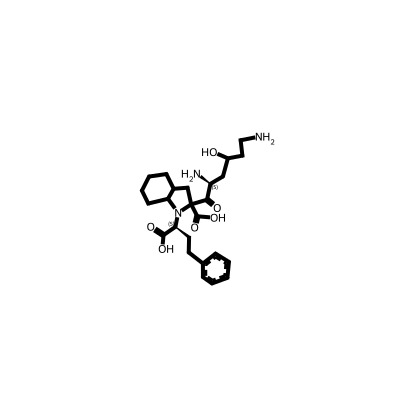 NCCC(O)C[C@H](N)C(=O)C1(C(=O)O)CC2CCCCC2N1[C@@H](CCc1ccccc1)C(=O)O